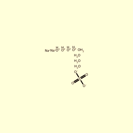 O.O.O.O.O.O.O.O.O=S(=O)([O-])[O-].[Na+].[Na+]